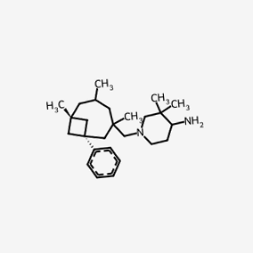 CC1CC(C)(CN2CCC(N)C(C)(C)C2)C[C@]2(c3ccccc3)C[C@@](C)(C1)C2